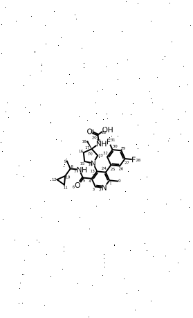 Cc1ncc(C(=O)NC(C)C2CC2)c(N2CC[C@](C)(NC(=O)O)C2)c1-c1cc(F)cc(F)c1